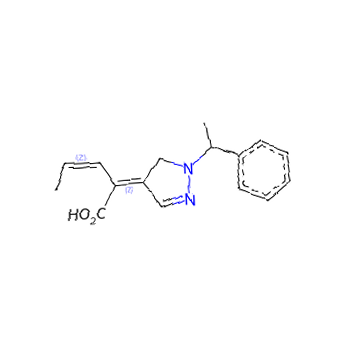 C/C=C\C(C(=O)O)=C1\C=NN(C(C)c2ccccc2)C1